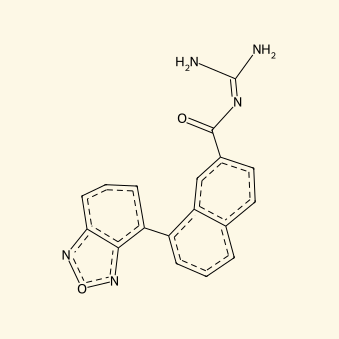 NC(N)=NC(=O)c1ccc2cccc(-c3cccc4nonc34)c2c1